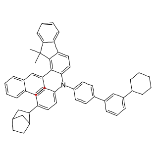 CC1(C)c2ccccc2-c2ccc(N(c3ccc(-c4cccc(C5CCCCC5)c4)cc3)c3ccc(C4CC5CCC4C5)cc3)c(-c3ccc4ccccc4c3)c21